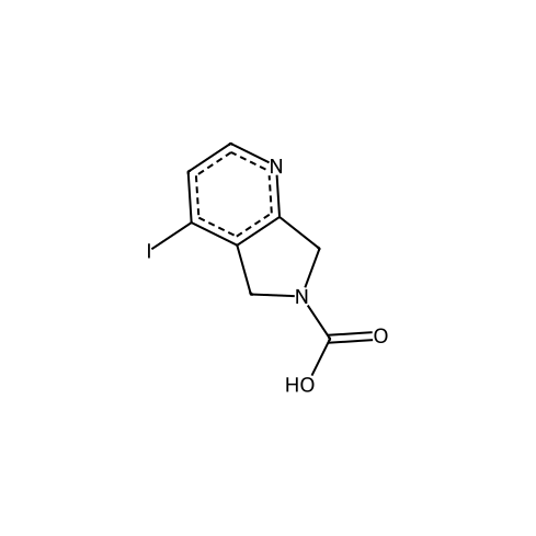 O=C(O)N1Cc2nccc(I)c2C1